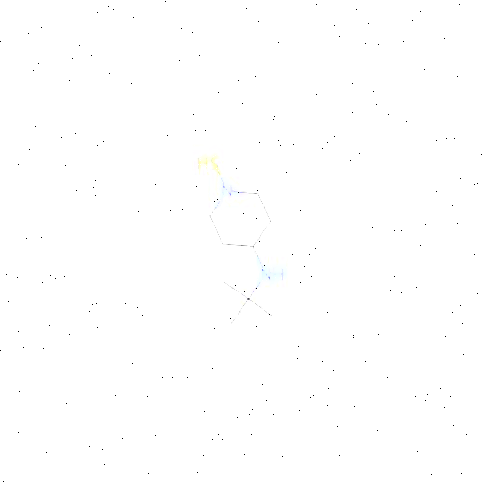 CC(C)(C)NC1CCN(S)CC1